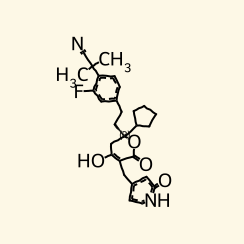 CC(C)(C#N)c1ccc(CC[C@]2(C3CCCC3)CC(O)=C(Cc3cc[nH]c(=O)c3)C(=O)O2)cc1F